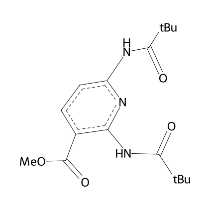 COC(=O)c1ccc(NC(=O)C(C)(C)C)nc1NC(=O)C(C)(C)C